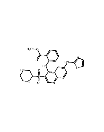 COC(=O)c1ccccc1Nc1c(S(=O)(=O)C2CNCCO2)cnc2ccc(Nc3ncco3)cc12